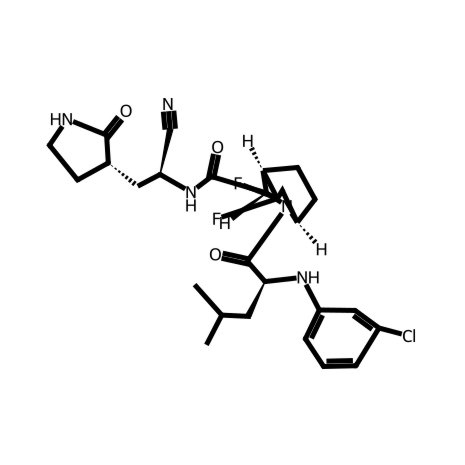 CC(C)C[C@H](Nc1cccc(Cl)c1)C(=O)N1[C@@H]2CC[C@H]([C@H]1C(=O)N[C@H](C#N)C[C@@H]1CCNC1=O)C(F)(F)C2